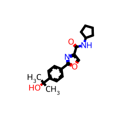 CC(C)(O)c1ccc(-c2nc(C(=O)NC3CCCC3)co2)cc1